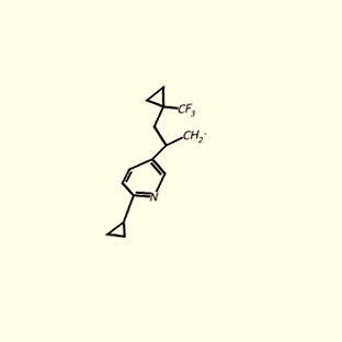 [CH2]C(CC1(C(F)(F)F)CC1)c1ccc(C2CC2)nc1